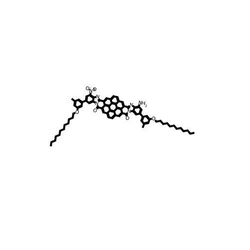 CCCCCCCCCCCCOc1cc(C)cc(-c2cc(N)c3nc4c5cc6ccc7cc8c9c(cc%10ccc%11cc(c(=O)n4c3c2)c5c2c%11c%10c9c7c62)c(=O)n2c3cc(-c4cc(C)cc(OCCCCCCCCCCCC)c4)cc([N+](=O)[O-])c3nc82)c1